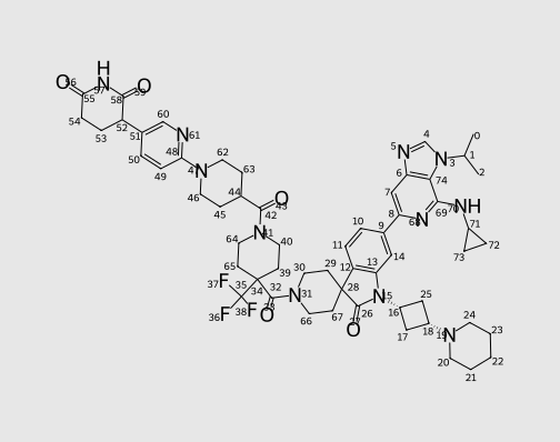 CC(C)n1cnc2cc(-c3ccc4c(c3)N([C@H]3C[C@@H](N5CCCCC5)C3)C(=O)C43CCN(C(=O)C4(C(F)(F)F)CCN(C(=O)C5CCN(c6ccc(C7CCC(=O)NC7=O)cn6)CC5)CC4)CC3)nc(NC3CC3)c21